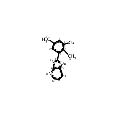 Cc1cc(Cl)c(C)c(-c2nc3ncccc3o2)c1